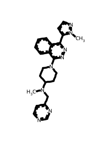 CN(Cc1ccncn1)C1CCN(c2nnc(-c3ccnn3C)c3ccccc23)CC1